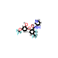 COc1cc(OC(F)(F)F)ccc1Oc1ccc(C(F)(F)F)c(F)c1C(=O)Nc1cccnc1